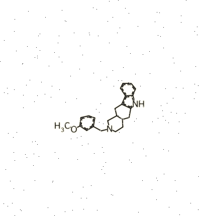 COc1cccc(CN2CCC3Cc4[nH]c5ccccc5c4CC3C2)c1